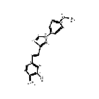 Nc1ccc(C=Cc2ncn(-c3ccc(OC(F)(F)F)cc3)n2)cc1Cl